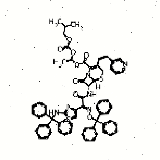 CC(C)COC(=O)OC(C)OC(=O)C1=C(/C=C\c2cccnc2)CS[C@H]2[C@H](NC(=O)C(=NOC(c3ccccc3)(c3ccccc3)c3ccccc3)c3csc(NC(c4ccccc4)(c4ccccc4)c4ccccc4)n3)C(=O)N12